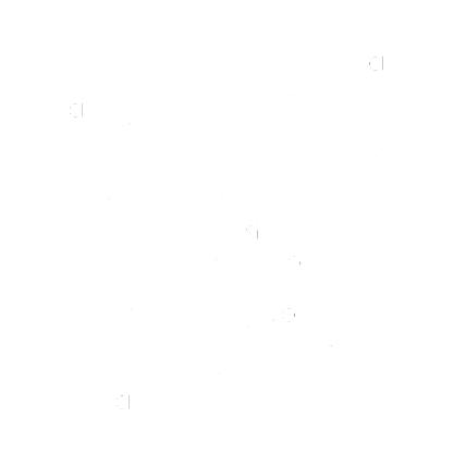 CC(C)(C)OO[Si](c1ccc(Cl)cc1)(c1ccc(Cl)cc1)c1ccc(Cl)cc1